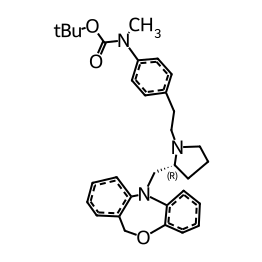 CN(C(=O)OC(C)(C)C)c1ccc(CCN2CCC[C@@H]2CN2c3ccccc3COc3ccccc32)cc1